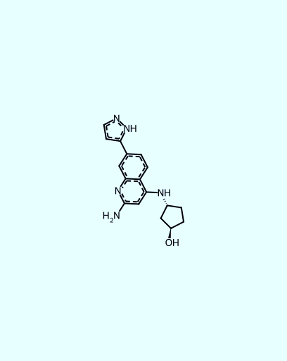 Nc1cc(N[C@@H]2CC[C@@H](O)C2)c2ccc(-c3ccn[nH]3)cc2n1